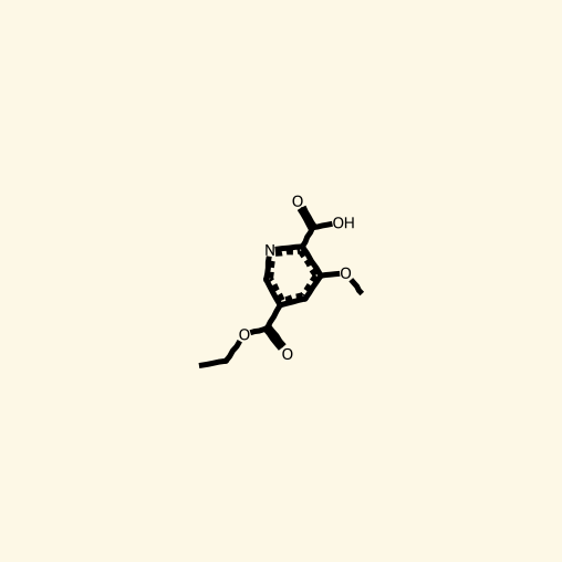 CCOC(=O)c1cnc(C(=O)O)c(OC)c1